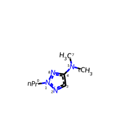 CCCn1ncc(N(C)C)n1